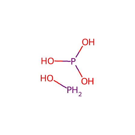 OP.OP(O)O